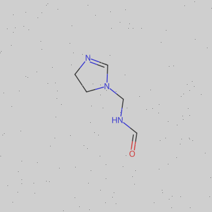 O=CNCN1C=NCC1